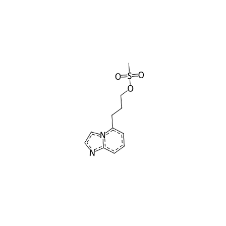 CS(=O)(=O)OCCCc1cccc2nccn12